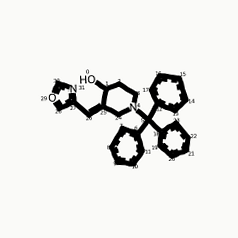 OC1CCN(C(c2ccccc2)(c2ccccc2)c2ccccc2)CC1=Cc1cocn1